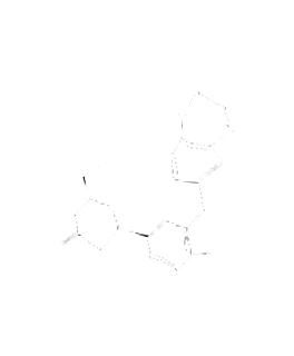 O=C1C[C@@H](CO)O[C@@H](c2ccc(Cl)c(Cc3ccc4c(c3)NCCO4)c2)C1